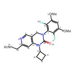 COc1cc(OC)c(F)c(N2Cc3cnc(CNC(C)=O)cc3N(C3CCC3)C2=O)c1F